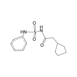 O=C(CC1CCCC1)NS(=O)(=O)Nc1ccccc1